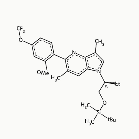 CC[C@@H](CO[Si](C)(C)C(C)(C)C)n1cc(C)c2nc(-c3ccc(OC(F)(F)F)cc3OC)c(C)cc21